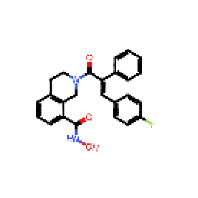 O=C(NO)c1cccc2c1CN(C(=O)C(=Cc1ccc(F)cc1)c1ccccc1)CC2